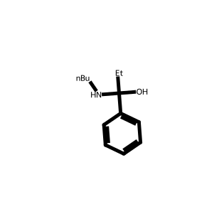 CCCCNC(O)(CC)c1ccccc1